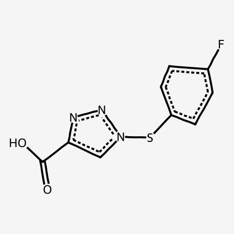 O=C(O)c1cn(Sc2ccc(F)cc2)nn1